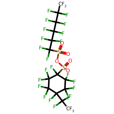 O=S(=O)(OS(=O)(=O)C1(F)C(F)(F)C(F)(F)C(F)(C(F)(F)C(F)(F)F)C(F)(F)C1(F)F)C(F)(F)C(F)(F)C(F)(F)C(F)(F)C(F)(F)C(F)(F)F